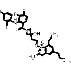 CCCc1cc(CCC)c(S(=O)(=O)OCCC2(O)CN(C(=O)c3ccc(F)c(F)c3Nc3ccc(I)cc3F)C2)c(CCC)c1